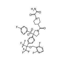 NC(=O)C(=O)N1CCC(C(=O)N2CC[C@](c3ccc(C(OCc4c(F)cccc4F)(C(F)(F)F)C(F)(F)F)cc3)(S(=O)(=O)c3ccc(F)cc3)C2)CC1